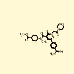 COC(=O)[C@H]1CC[C@H](N(C)C(=O)c2cc(-c3ccc(C(=N)N)cc3)nn(CC(=O)N3CCOCC3)c2=O)CC1